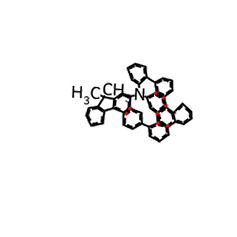 CC1(C)c2ccccc2-c2ccc(N(c3cccc(-c4ccccc4-c4ccccc4)c3)c3ccccc3-c3cccc(-c4cccc5ccccc45)c3)cc21